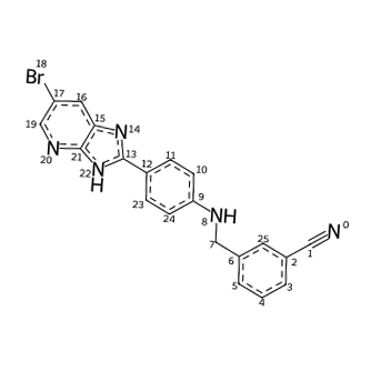 N#Cc1cccc(CNc2ccc(-c3nc4cc(Br)cnc4[nH]3)cc2)c1